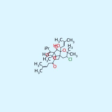 CC(C)=CCC(=O)C1CC23CC(Cl)C(C)(C)OC2(C(O)C=C(C)C)C(=O)C(C(=O)C(C)C)(C3=O)C1(C)C